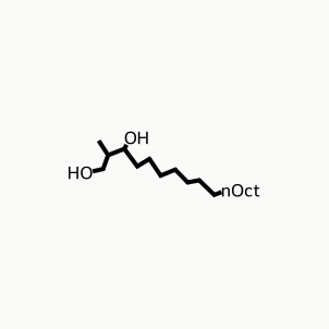 CCCCCCCCCCCCCCCC(O)C(C)CO